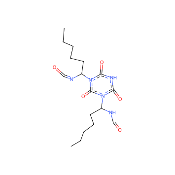 CCCCCC(N=C=O)n1c(=O)[nH]c(=O)n(C(CCCCC)NC=O)c1=O